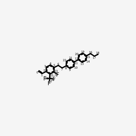 C=Cc1ccc(CCc2ccc(-c3ccc(CCC)cc3)cc2)c(F)c1C(F)(F)F